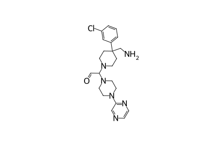 NCC1(c2cccc(Cl)c2)CCN(C(C=O)N2CCN(c3cnccn3)CC2)CC1